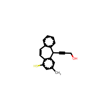 Cc1cc(S)c2c(c1)C(C#CCO)c1ccccc1C=C2